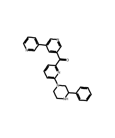 O=C(c1cncc(-c2cccnc2)c1)c1cccc(N2CCNC(c3ccccc3)C2)n1